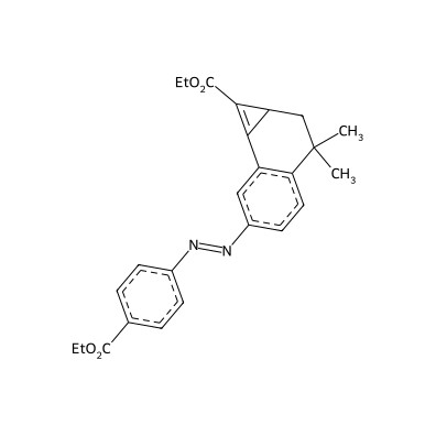 CCOC(=O)C1=C2c3cc(N=Nc4ccc(C(=O)OCC)cc4)ccc3C(C)(C)CC12